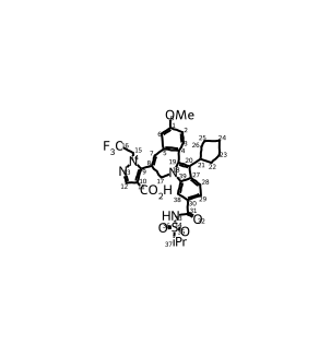 COc1ccc2c(c1)C=C(c1c(C(=O)O)cnn1CC(F)(F)F)Cn1c-2c(C2CCCCC2)c2ccc(C(=O)NS(=O)(=O)C(C)C)cc21